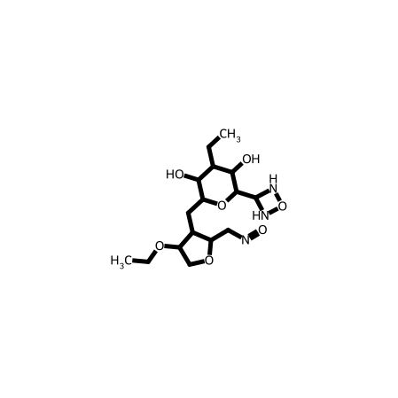 CCOC1COC(CN=O)C1CC1OC(C2NON2)C(O)C(CC)C1O